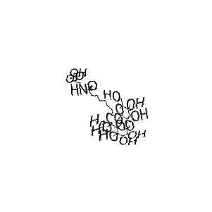 CC(CCCCCCC(=O)NCCS(=O)(=O)O)OC1OC(CO)C(O)C(O)C1OC1OC(CO)C(O)C(O)C1O